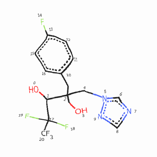 OC(C(O)(Cn1cncn1)c1ccc(F)cc1)C(F)(F)C(F)(F)F